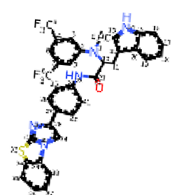 CC(=O)N(c1cc(C(F)(F)F)cc(C(F)(F)F)c1)C(Cc1c[nH]c2ccccc12)C(=O)Nc1ccc(-c2cn3c(n2)sc2ccccc23)cc1